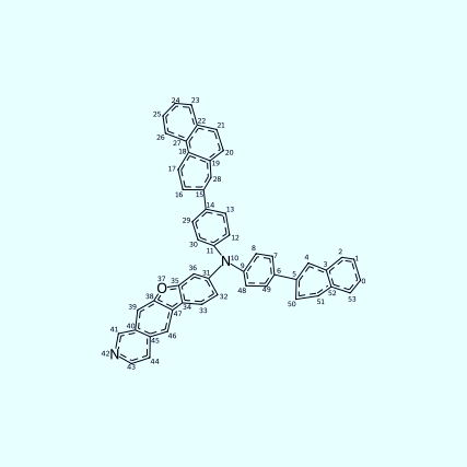 c1ccc2cc(-c3ccc(N(c4ccc(-c5ccc6c(ccc7ccccc76)c5)cc4)c4ccc5c(c4)oc4cc6cnccc6cc45)cc3)ccc2c1